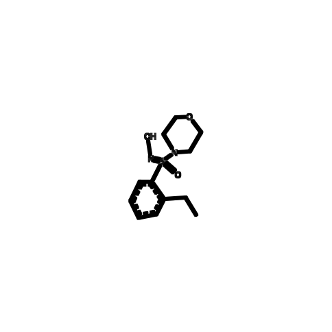 CCc1ccccc1S(=O)(=NO)N1CCOCC1